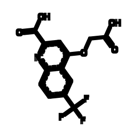 O=C(O)COc1cc(C(=O)O)nc2ccc(C(F)(F)F)cc12